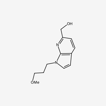 COCCCn1ccc2ccc(CO)nc21